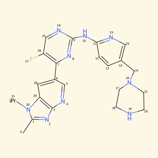 Cc1nc2ncc(-c3nc(Nc4ccc(CN5CCNCC5)cn4)ncc3F)cc2n1C(C)C